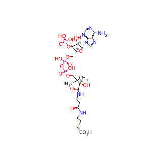 CC(C)(COP(=O)(O)OP(=O)(O)OC[C@H]1O[C@@H](n2cnc3c(N)ncnc32)[C@H](O)[C@@H]1OP(=O)(O)O)[C@@H](O)C(=O)NCCC(=O)NCCSC(=O)O